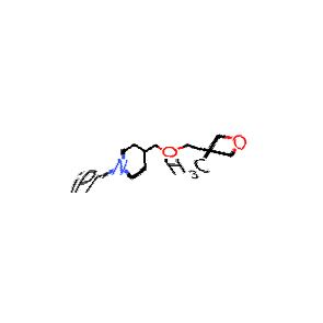 CC(C)N1CCC(COCC2(C)COC2)CC1